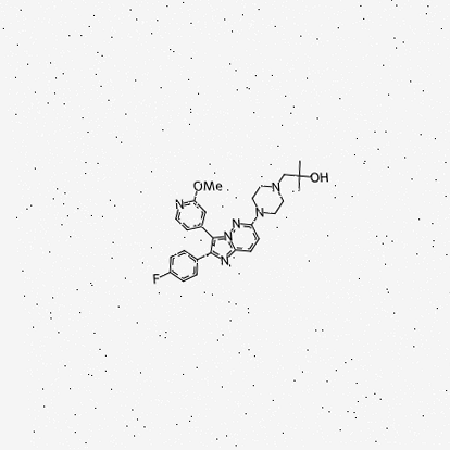 COc1cc(-c2c(-c3ccc(F)cc3)nc3ccc(N4CCN(CC(C)(C)O)CC4)nn23)ccn1